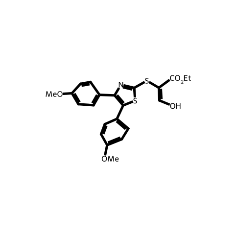 CCOC(=O)C(=CO)Sc1nc(-c2ccc(OC)cc2)c(-c2ccc(OC)cc2)s1